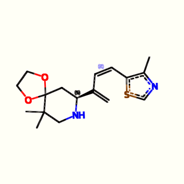 C=C(/C=C\c1scnc1C)[C@@H]1CC2(OCCO2)C(C)(C)CN1